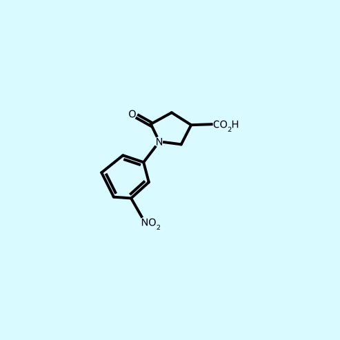 O=C(O)C1CC(=O)N(c2cccc([N+](=O)[O-])c2)C1